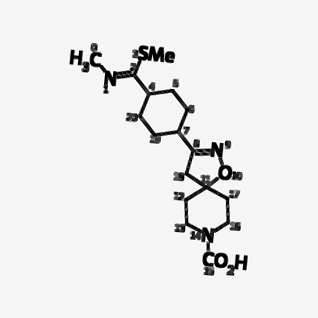 CN=C(SC)C1CCC(C2=NOC3(CCN(C(=O)O)CC3)C2)CC1